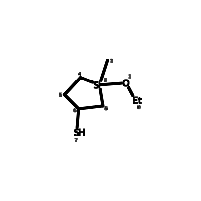 CCO[Si]1(C)CCC(S)C1